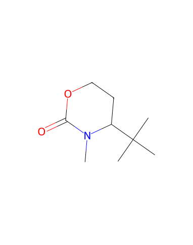 CN1C(=O)OCCC1C(C)(C)C